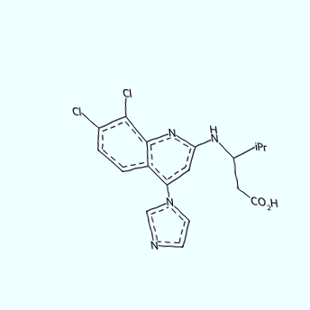 CC(C)C(CC(=O)O)Nc1cc(-n2ccnc2)c2ccc(Cl)c(Cl)c2n1